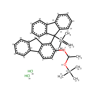 CC(Oc1ccc2c(c1[C]1([Zr]([CH3])([CH3])=[SiH2])c3ccccc3-c3ccccc31)Cc1ccccc1-2)O[Si](C)(C)C.Cl.Cl